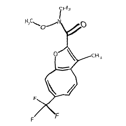 CON(C)C(=O)c1oc2cc(C(F)(F)F)ccc2c1C